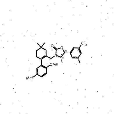 COc1ccc(SC)cc1C1=C(CN2C(=O)O[C@H](c3cc(C)cc(C(F)(F)F)c3)[C@@H]2C)CC(C)(C)CC1